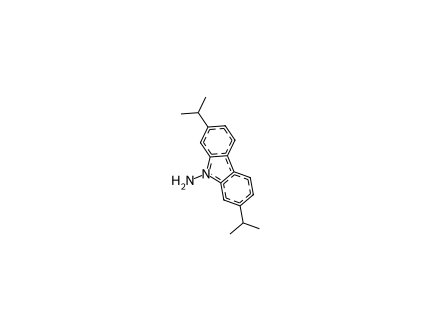 CC(C)c1ccc2c3ccc(C(C)C)cc3n(N)c2c1